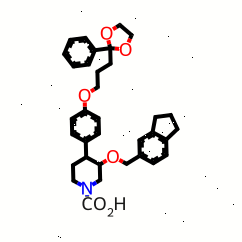 O=C(O)N1CCC(c2ccc(OCCCC3(c4ccccc4)OCCO3)cc2)C(OCc2ccc3c(c2)CCC3)C1